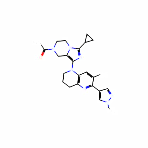 CNC(=O)N1CCn2c(C3CC3)nc(N3CCCc4nc(-c5cnn(C)c5)c(C(F)(F)F)cc43)c2C1